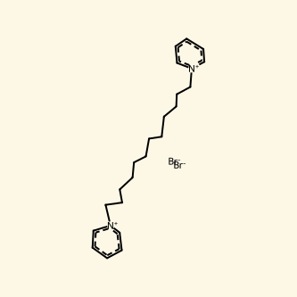 [Br-].[Br-].c1cc[n+](CCCCCCCCCCCC[n+]2ccccc2)cc1